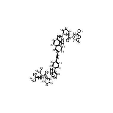 COC[C@H](NC(=O)OC)C(=O)N1CCC[C@H]1c1nc2ccc3cc(C#Cc4ccc(-c5cnc([C@@H]6CCCN6C(=O)[C@@H](NC(=O)OC)C(C)C)[nH]5)cc4)ccc3c2[nH]1